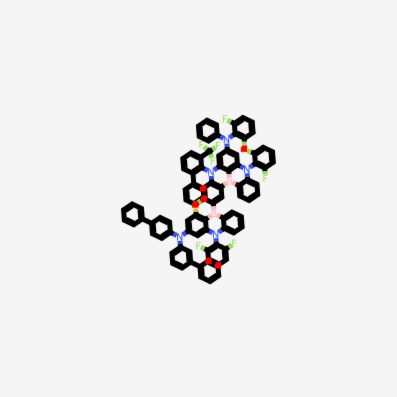 Fc1cccc(F)c1N(c1ccccc1)c1cc2c3c(c1)N(c1c(-c4ccccc4)cccc1C(F)(F)F)c1cc4c(cc1B3c1ccccc1N2c1c(F)cccc1F)B1c2ccccc2N(c2c(F)cccc2F)c2cc(N(c3ccc(-c5ccccc5)cc3)c3cccc(-c5ccccc5)c3)cc(c21)S4